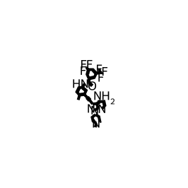 Cc1ccc(NC(=O)c2cc(C(F)(F)F)cc(C(F)(F)F)c2)cc1C#Cc1nn(C2CCN(C)CC2)c2nccc(N)c12